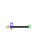 S=C(S)NCCCCCCCCCCCCCCCCCCCCl